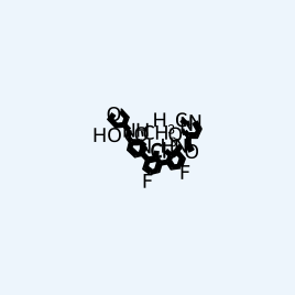 COc1nc(-c2cc(F)cc(-c3cc(F)cc(NC(=O)c4ccnn(C)c4=O)c3Cl)c2Cl)ccc1CNC1CCOC[C@@H]1O